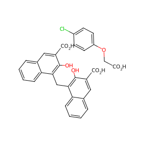 O=C(O)COc1ccc(Cl)cc1.O=C(O)c1cc2ccccc2c(Cc2c(O)c(C(=O)O)cc3ccccc23)c1O